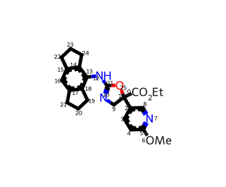 CCOC(=O)C1(c2ccc(OC)nc2)CN=C(Nc2c3c(cc4c2CCC4)CCC3)O1